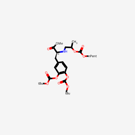 CCCCCOC(=O)OC(C)CN[C@@H](Cc1ccc(OC(=O)OC(C)(C)C)c(OC(=O)OC(C)(C)C)c1)C(=O)OC